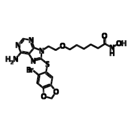 Nc1ncnc2c1nc(Sc1cc3c(cc1Br)OCO3)n2CCOCCCCCC(=O)NO